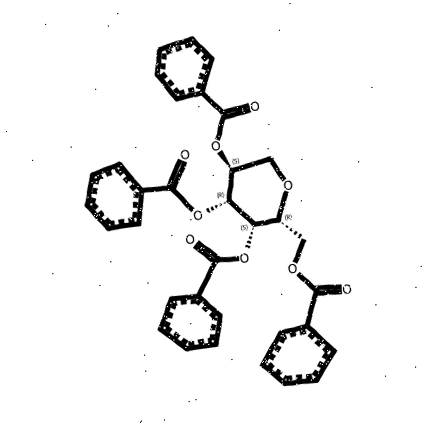 O=C(OC[C@H]1O[CH][C@H](OC(=O)c2ccccc2)[C@@H](OC(=O)c2ccccc2)[C@H]1OC(=O)c1ccccc1)c1ccccc1